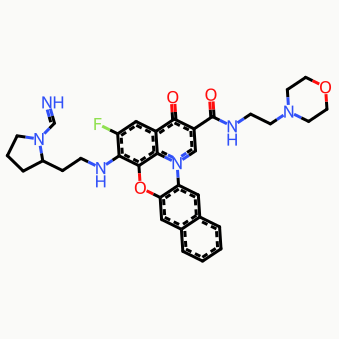 N=CN1CCCC1CCNc1c(F)cc2c(=O)c(C(=O)NCCN3CCOCC3)cn3c2c1Oc1cc2ccccc2cc1-3